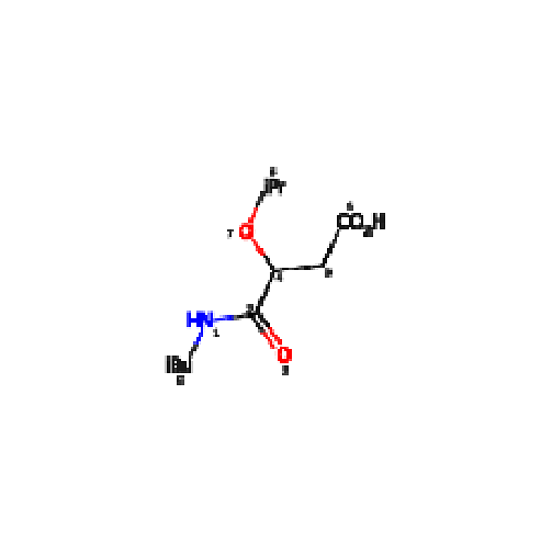 CCC(C)NC(=O)C(CC(=O)O)OC(C)C